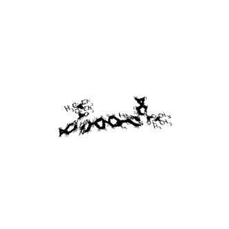 CC(C)(C)OC(=O)N1CC2(CC2)C[C@H]1c1ncc(-c2ccc(-c3ccc(-c4cnc([C@@H]5CC6(CC6)CN5C(=O)OC(C)(C)C)[nH]4)cc3)cc2)[nH]1